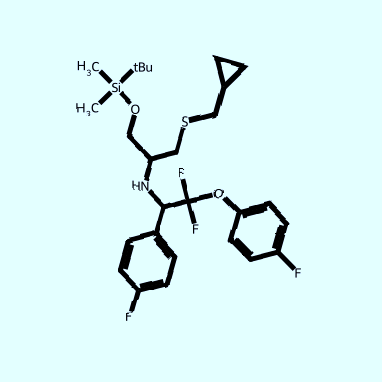 CC(C)(C)[Si](C)(C)OCC(CSCC1CC1)NC(c1ccc(F)cc1)C(F)(F)Oc1ccc(F)cc1